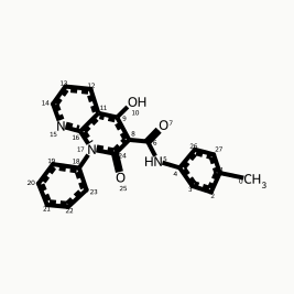 Cc1ccc(NC(=O)c2c(O)c3cccnc3n(-c3ccccc3)c2=O)cc1